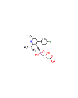 Cc1cc(-c2ccc(F)cc2)c(C#CP(=O)(O)CC(O)CC(=O)O)c(C(C)C)n1